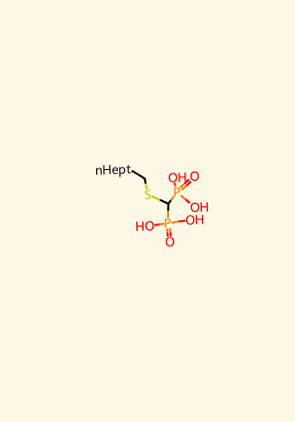 CCCCCCCCSC(P(=O)(O)O)P(=O)(O)O